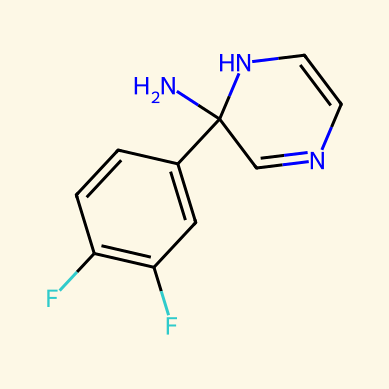 NC1(c2ccc(F)c(F)c2)C=NC=CN1